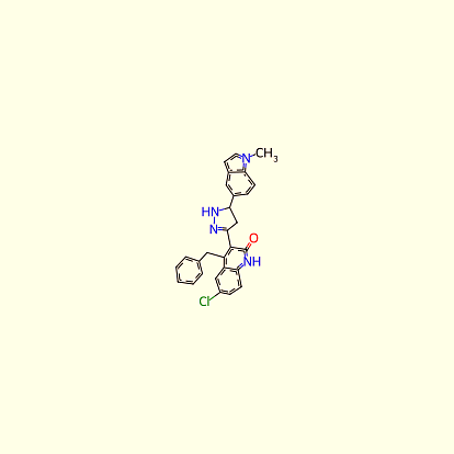 Cn1ccc2cc(C3CC(c4c(Cc5ccccc5)c5cc(Cl)ccc5[nH]c4=O)=NN3)ccc21